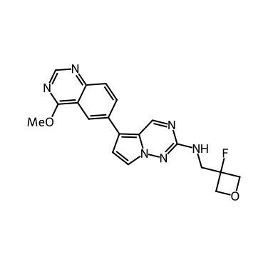 COc1ncnc2ccc(-c3ccn4nc(NCC5(F)COC5)ncc34)cc12